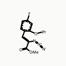 COC(=O)/C(=C/c1ccc(F)cc1OC(C)C)N=[N+]=[N-]